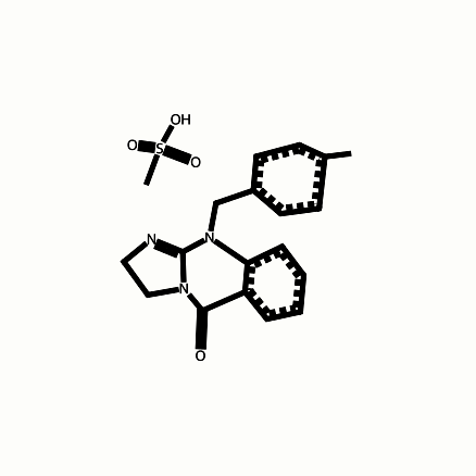 CS(=O)(=O)O.Cc1ccc(CN2C3=NCCN3C(=O)c3ccccc32)cc1